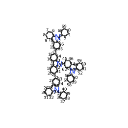 c1ccc(-n2c3ccccc3c3cc(-c4ccc5c6ccc(-c7ccc8c(c7)c7ccccc7n8-c7ccccc7)cc6n(-c6ccc7c8ccccc8n(-c8ccccc8)c7c6)c5c4)ccc32)cc1